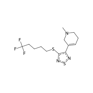 CN1CCC=C(c2nsnc2SCCCCC(F)(F)F)C1